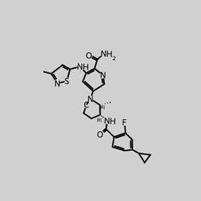 Cc1cc(Nc2cc(N3CCC[C@@H](NC(=O)c4ccc(C5CC5)cc4F)[C@H]3C)cnc2C(N)=O)sn1